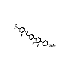 COc1ccc(-c2ccc(-c3ccc(COc4ccc(C5CO5)cc4F)cc3)c(F)c2F)cc1